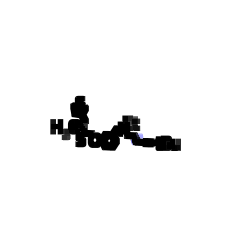 CCN(C/C=C/C#CC(C)(C)C)Cc1cccc(OCC(=S)N(C)Cc2ccsc2)c1